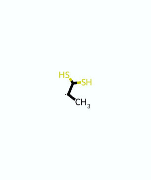 C[CH]C(S)S